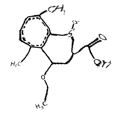 CCOC1CC(C(=O)O)[S+]([O-])c2c(C)ccc(C)c21